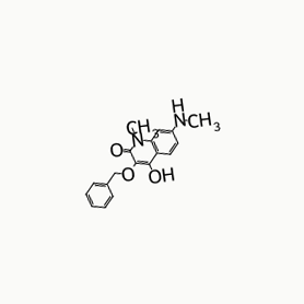 CNc1ccc2c(O)c(OCc3ccccc3)c(=O)n(C)c2c1